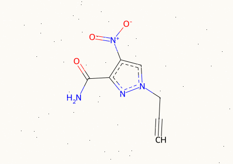 C#CCn1cc([N+](=O)[O-])c(C(N)=O)n1